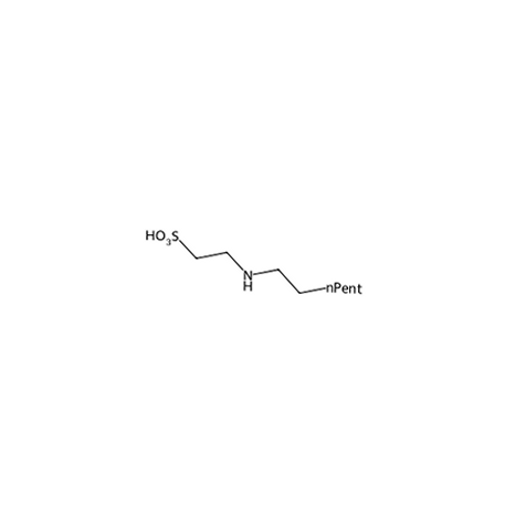 CCCCCCCNCCS(=O)(=O)O